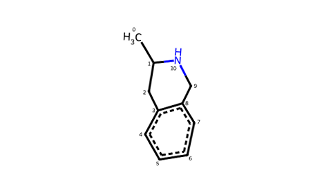 CC1Cc2ccccc2CN1